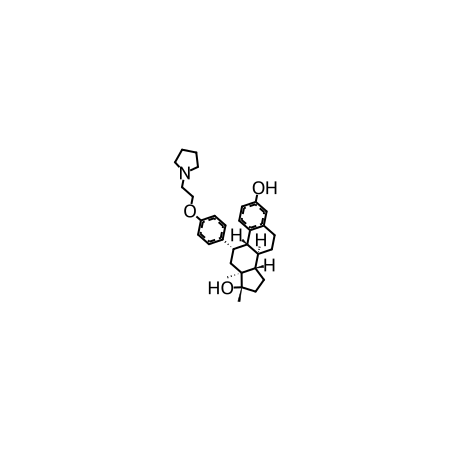 C[C@]1(O)CC[C@H]2[C@@H]3CCc4cc(O)ccc4[C@H]3[C@@H](c3ccc(OCCN4CCCC4)cc3)C[C@@]21C